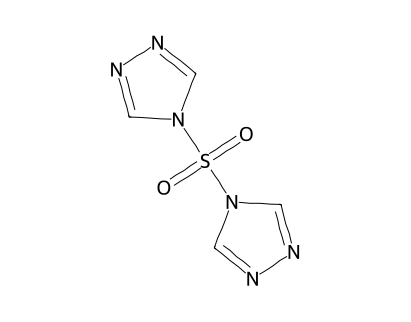 O=S(=O)(n1cnnc1)n1cnnc1